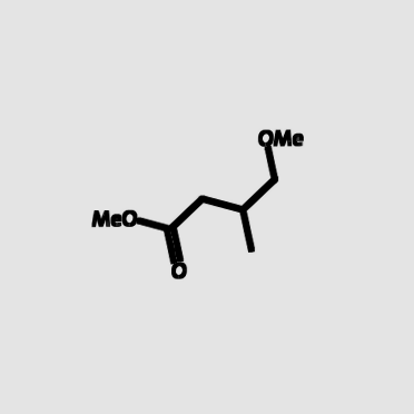 COCC(C)CC(=O)OC